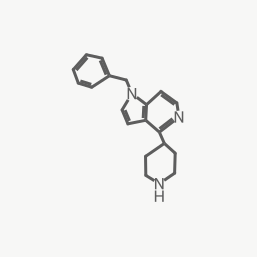 c1ccc(Cn2ccc3c(C4CCNCC4)nccc32)cc1